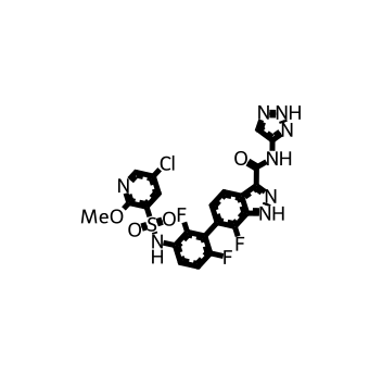 COc1ncc(Cl)cc1S(=O)(=O)Nc1ccc(F)c(-c2ccc3c(C(=O)Nc4cn[nH]n4)n[nH]c3c2F)c1F